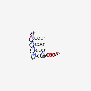 O=C([O-])c1ccccn1.O=C([O-])c1ccccn1.O=C([O-])c1ccccn1.O=C([O-])c1ccccn1.O=C([O-])c1ccccn1.[O-2].[O-2].[O-2].[O-2].[O-2].[V+5].[V+5].[V+5]